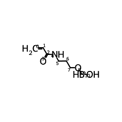 C=CC(=O)NCCCOBO